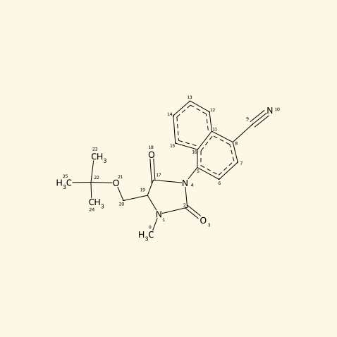 CN1C(=O)N(c2ccc(C#N)c3ccccc23)C(=O)C1COC(C)(C)C